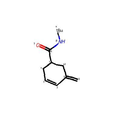 C=C1C=CCC(C(=O)NC(C)(C)C)C1